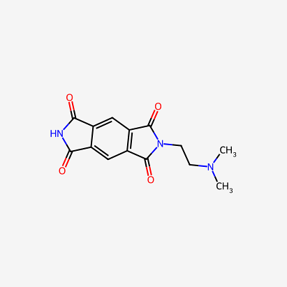 CN(C)CCn1c(=O)c2cc3c(=O)[nH]c(=O)c3cc2c1=O